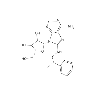 C[C@H](CNc1nc2c(N)ncnc2n1[C@@H]1O[C@H](CO)C(O)C1O)c1ccccc1